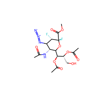 COC(=O)[C@]1(F)OC([C@H](OC(C)=O)[C@@H](CO)OC(C)=O)[C@H](NC(C)=O)C(N=[N+]=[N-])[C@@H]1F